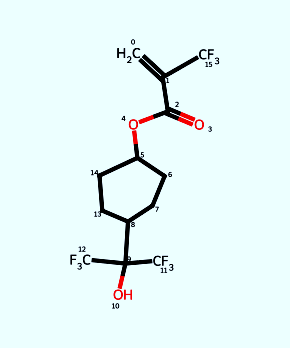 C=C(C(=O)OC1CCC(C(O)(C(F)(F)F)C(F)(F)F)CC1)C(F)(F)F